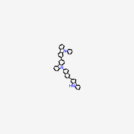 c1ccc(-n2c3ccccc3c3ccc(-c4ccc5c(c4)c4ccccc4n5-c4ccc5cc(-c6ccc7c(c6)[nH]c6ccccc67)ccc5c4)cc32)cc1